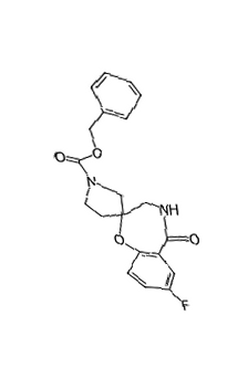 O=C1NCC2(CCN(C(=O)OCc3ccccc3)C2)Oc2ccc(F)cc21